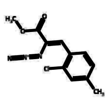 COC(=O)/C(=C/c1ccc(C)cc1Cl)N=[N+]=[N-]